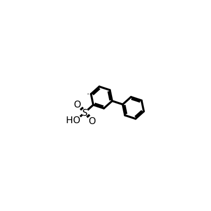 O=S(=O)(O)c1[c]ccc(-c2ccccc2)c1